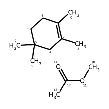 CC1=C(C)CC(C)(C)CC1.COC(C)=O